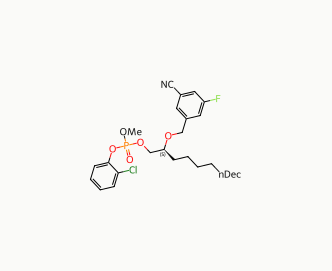 CCCCCCCCCCCCCC[C@@H](COP(=O)(OC)Oc1ccccc1Cl)OCc1cc(F)cc(C#N)c1